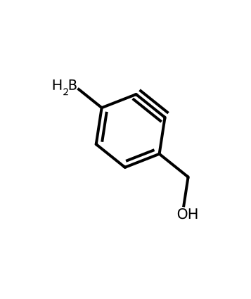 Bc1c#cc(CO)cc1